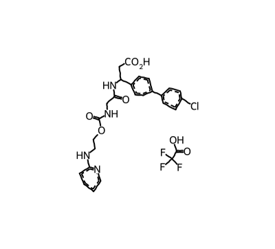 O=C(O)C(F)(F)F.O=C(O)CC(NC(=O)CNC(=O)OCCNc1ccccn1)c1ccc(-c2ccc(Cl)cc2)cc1